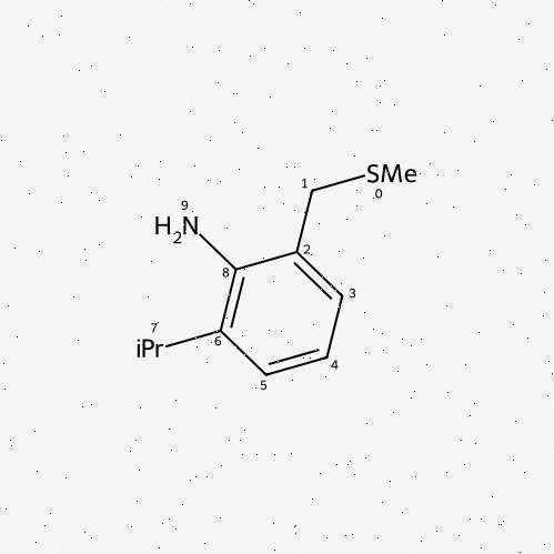 CSCc1cccc(C(C)C)c1N